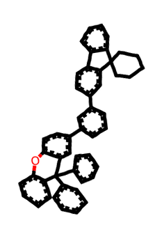 c1ccc(C2(c3ccccc3)c3ccccc3Oc3ccc(-c4cccc(-c5ccc6c(c5)C5(CCCCC5)c5ccccc5-6)c4)cc32)cc1